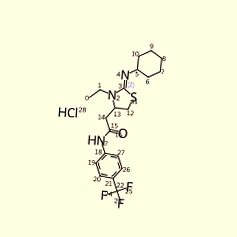 CCN1/C(=N/C2CCCCC2)SCC1CC(=O)Nc1ccc(C(F)(F)F)cc1.Cl